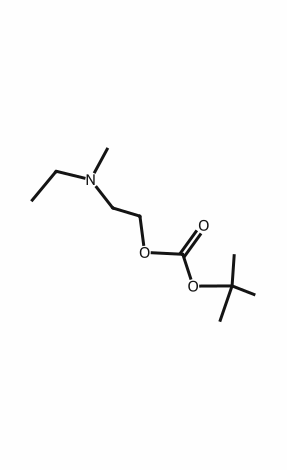 CCN(C)CCOC(=O)OC(C)(C)C